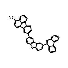 N#Cc1ccc2c3c(cccc13)-c1ccc(-c3ccc4sc5ccc(-c6cc7ccccc7c7ccccc67)cc5c4c3)cc1-2